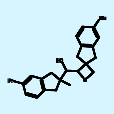 CC(C)c1ccc2c(c1)CC(C)(C(O)C1OCC13Cc1ccc(C(C)(C)C)cc1C3)C2